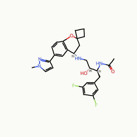 CC(=O)N[C@@H](Cc1cc(F)cc(F)c1)[C@H](O)CN[C@H]1CC2(CCC2)Oc2ccc(-c3ccn(C)n3)cc21